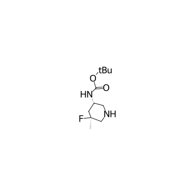 CC(C)(C)OC(=O)N[C@@H]1CNC[C@@](C)(F)C1